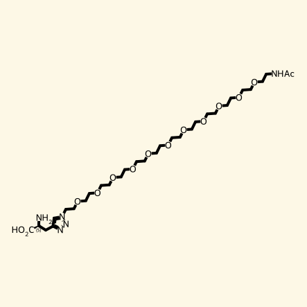 CC(=O)NCCOCCOCCOCCOCCOCCOCCOCCOCCOCCOCCOCCn1cc(C[C@H](N)C(=O)O)nn1